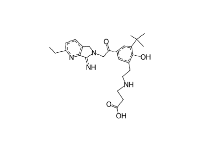 CCc1ccc2c(n1)C(=N)N(CC(=O)c1cc(CCNCCC(=O)O)c(O)c(C(C)(C)C)c1)C2